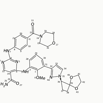 COc1c(Nc2nc(Nc3ccc(C(=O)N4CCOCC4)cc3)ncc2C(N)=O)cccc1-c1ccn([C@@H]2CCC23OCCO3)n1